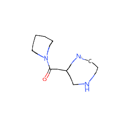 O=C(C1CNCC[N]1)N1CCC1